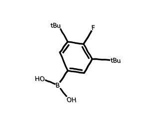 CC(C)(C)c1cc(B(O)O)cc(C(C)(C)C)c1F